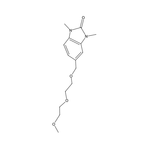 COCCOCCOCc1ccc2c(c1)n(C)c(=O)n2C